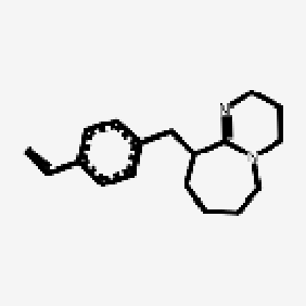 C=Cc1ccc(CC2CCCCN3CCCN=C23)cc1